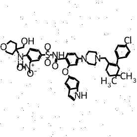 CC1(C)CCC(CN2CCN(c3ccc(C(=O)NS(=O)(=O)c4ccc(NC5(CO)CCOCC5)c([N+](=O)[O-])c4)c(Oc4ccc5[nH]ccc5c4)c3)CC2)=C(c2ccc(Cl)cc2)C1